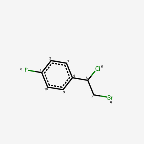 Fc1ccc(C(Cl)CBr)cc1